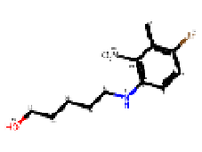 Cc1c(Br)ccc(NCCCCCO)c1[N+](=O)[O-]